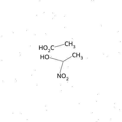 CC(=O)O.CC(O)[N+](=O)[O-]